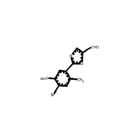 COc1cc(-c2ncc(C=O)o2)c(C)cc1Br